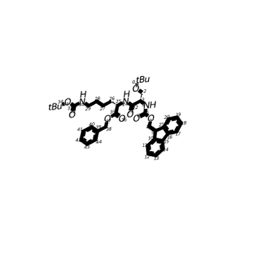 CC(C)(C)OC[C@H](NC(=O)OCC1c2ccccc2-c2ccccc21)C(=O)N[C@@H](CCCCNC(=O)OC(C)(C)C)C(=O)OCc1ccccc1